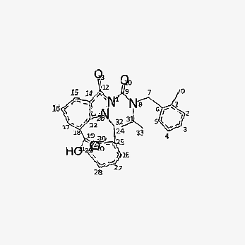 Cc1ccccc1CN(C(=O)n1c(=O)c2cccc(C(=O)O)c2n1Cc1ccccc1)C(C)C